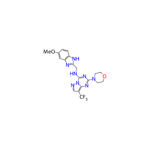 COc1ccc2[nH]c(CNc3nc(N4CCOCC4)nc4c(C(F)(F)F)cnn34)nc2c1